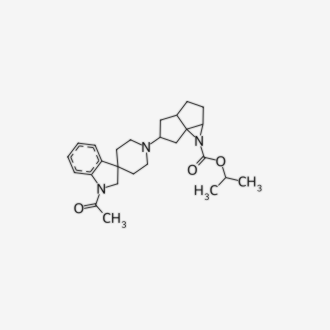 CC(=O)N1CC2(CCN(C3CC4CCC5N(C(=O)OC(C)C)C45C3)CC2)c2ccccc21